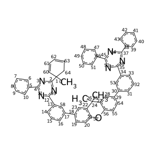 CC1(c2nc(-c3ccccc3)nc(-c3cccc(-c4ccc5c(c4)C(C)(C)c4cc(-c6cccc(-c7nc(-c8ccccc8)nc(-c8ccccc8)n7)c6)ccc4O5)c3)n2)C=CC=CC1